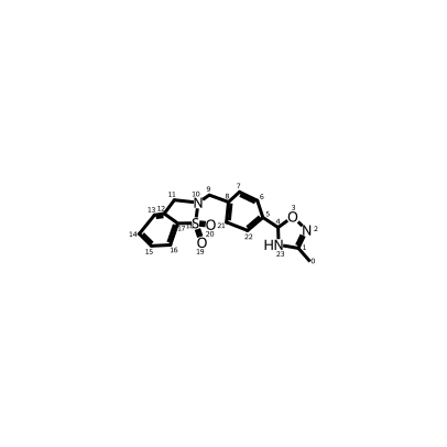 CC1=NOC(c2ccc(CN3Cc4ccccc4S3(=O)=O)cc2)N1